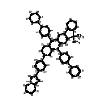 CC1(C)c2ccccc2-c2cc3c(-c4ccc(-c5ccccc5)cc4)c4ccc(-c5ccc(-c6cn7ccccc7n6)cc5)cc4c(-c4ccc(-c5ccccc5)cc4)c3cc21